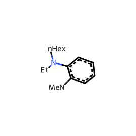 CCCCCCN(CC)c1ccccc1NC